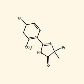 CCC1C=NC(C2=NC(C)(C(C)C)C(=O)N2)=C(C(=O)O)C1